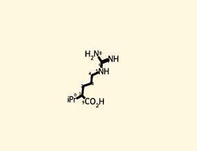 CC(C)C(CCCNC(=N)N)C(=O)O